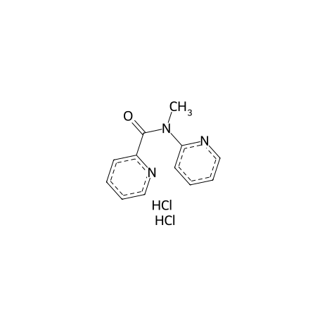 CN(C(=O)c1ccccn1)c1ccccn1.Cl.Cl